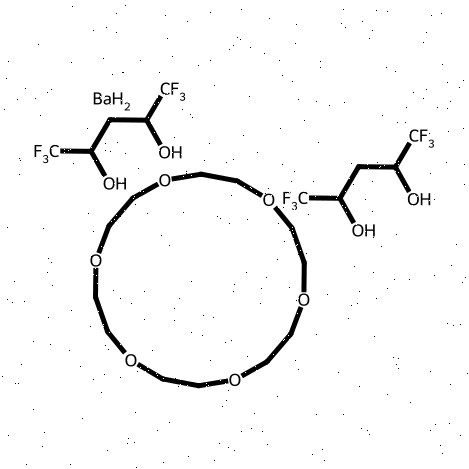 C1COCCOCCOCCOCCOCCO1.OC(CC(O)C(F)(F)F)C(F)(F)F.OC(CC(O)C(F)(F)F)C(F)(F)F.[BaH2]